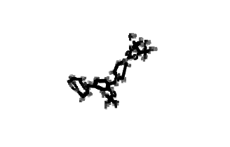 O=C(OC(C(F)(F)F)C(F)(F)F)N1CCN(Cc2ccc(N3CCOCC3)cc2OC(F)(F)F)CC1